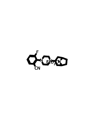 CCOC(=O)N1C2CCC1CC(N1CCN(c3c(F)cccc3C#N)CC1)C2